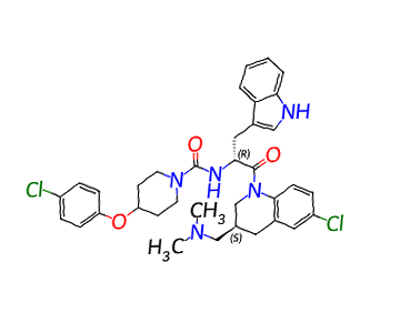 CN(C)C[C@@H]1Cc2cc(Cl)ccc2N(C(=O)[C@@H](Cc2c[nH]c3ccccc23)NC(=O)N2CCC(Oc3ccc(Cl)cc3)CC2)C1